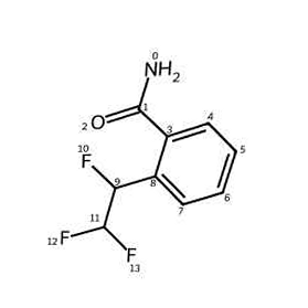 NC(=O)c1ccccc1C(F)C(F)F